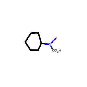 O=C(O)N(I)C1CCCCC1